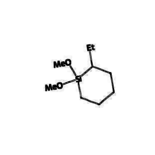 CCC1CCCC[Si]1(OC)OC